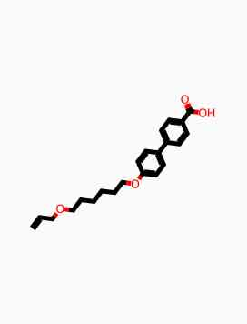 C=CCOCCCCCCOc1ccc(-c2ccc(C(=O)O)cc2)cc1